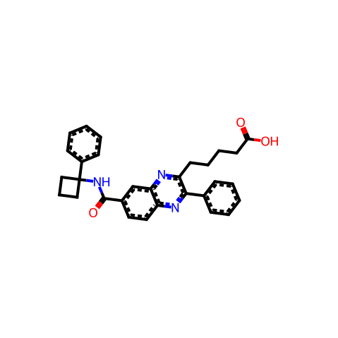 O=C(O)CCCCc1nc2cc(C(=O)NC3(c4ccccc4)CCC3)ccc2nc1-c1ccccc1